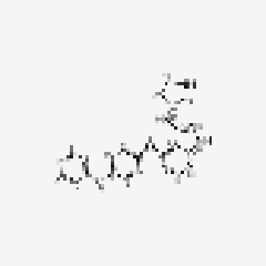 c1ccc(Oc2ccc(Oc3ncnc4[nH]nc(N[C@@H]5CCNC5)c34)cc2)cc1